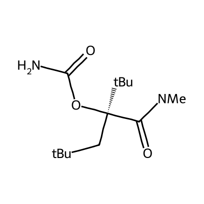 CNC(=O)[C@@](CC(C)(C)C)(OC(N)=O)C(C)(C)C